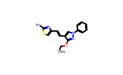 COCOc1nn(-c2ccccc2)cc1C=Cc1csc(C(C)C)n1